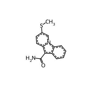 CSc1ccc2c(C(N)=O)c3ccccc3n2c1